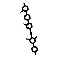 CC1=CC(c2ccc(C)cc2)CC(F)=C1C#Cc1ccc(-c2ccc(-c3ccc(C)cc3F)cc2)c(F)c1